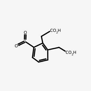 O=C(O)Cc1cccc(I(=O)=O)c1CC(=O)O